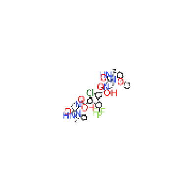 O=C(C(O)c1cccc(-c2cc(C(F)(F)F)ccc2-c2cc(Cl)cc([C@@H](O)C(=O)N3CCCc4nc(C5(c6cccc(Oc7ccccc7)c6)CC5)[nH]c(=O)c4C3)c2)c1)N1CCCc2c(nc(C3(c4ccccc4)CC3)[nH]c2=O)C1